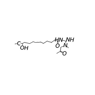 CCC(O)CCCCCCCCCC(=O)NC(=N)N(C)CC(C)=O